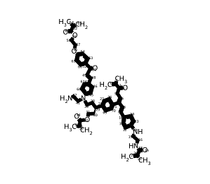 C=C(C)C(=O)C/C=C(/C=C/c1ccc(NCCNC(=O)C(=C)C)cc1)c1ccc([C@@H](CCOC(=O)C(=C)C)CCN(CCN)c2ccc(/C=C/C(=O)c3ccc(OCCOC(=O)C(=C)C)cc3)cc2)cc1